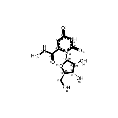 CNC(=O)c1cc(=O)[nH]c(=O)n1[C@@H]1O[C@H](CO)[C@@H](O)[C@H]1O